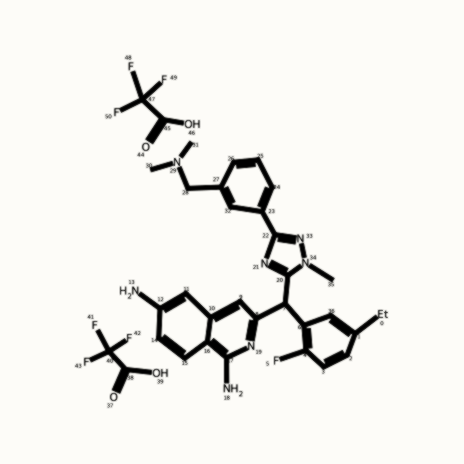 CCc1ccc(F)c(C(c2cc3cc(N)ccc3c(N)n2)c2nc(-c3cccc(CN(C)C)c3)nn2C)c1.O=C(O)C(F)(F)F.O=C(O)C(F)(F)F